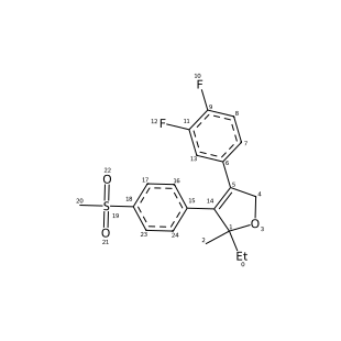 CCC1(C)OCC(c2ccc(F)c(F)c2)=C1c1ccc(S(C)(=O)=O)cc1